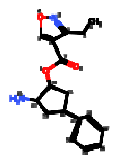 CCc1nocc1C(=O)OC1CC(c2ccccc2)CC1N